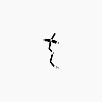 CC(C)(C)COCS(C)(=O)=O